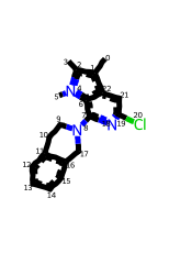 Cc1c(C)n(C)c2c(N3CCc4ccccc4C3)nc(Cl)cc12